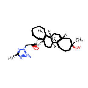 Cc1nnn(CC(=O)[C@@H]2CCCC[C@H]3[C@@H]4CC[C@@H]5C[C@](C)(O)CCC[C@]5(C)[C@H]4CC[C@]23C)n1